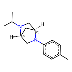 Cc1ccc(N2C[C@@H]3C[C@H]2CN3C(C)C)cc1